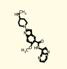 CNC1CCN(n2cc3cc(C(=O)Nc4cnn5cccnc45)c(OC)cc3n2)CC1